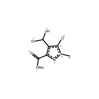 CCCC(CC)c1c(C(=O)OC)nn(C)c1Cl